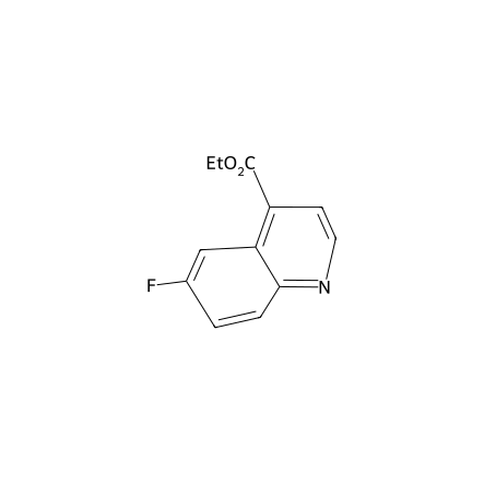 CCOC(=O)c1ccnc2ccc(F)cc12